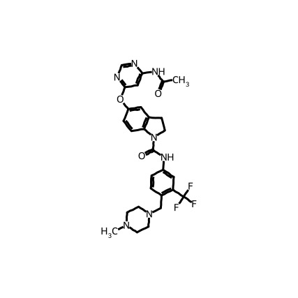 CC(=O)Nc1cc(Oc2ccc3c(c2)CCN3C(=O)Nc2ccc(CN3CCN(C)CC3)c(C(F)(F)F)c2)ncn1